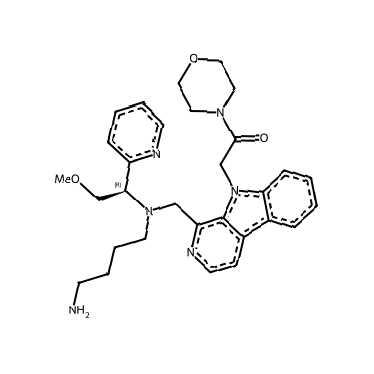 COC[C@@H](c1ccccn1)N(CCCCN)Cc1nccc2c3ccccc3n(CC(=O)N3CCOCC3)c12